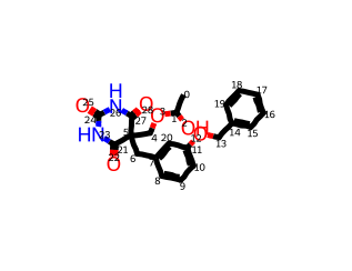 CC(O)OCC1(Cc2cccc(OCc3ccccc3)c2)C(=O)NC(=O)NC1=O